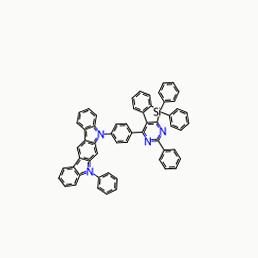 c1ccc(-c2nc(-c3ccc(-n4c5ccccc5c5cc6c7ccccc7n(-c7ccccc7)c6cc54)cc3)c3c(n2)[Si](c2ccccc2)(c2ccccc2)c2ccccc2-3)cc1